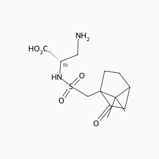 CC1(C)C2CCC1(CS(=O)(=O)N[C@@H](CN)C(=O)O)C(=O)C2